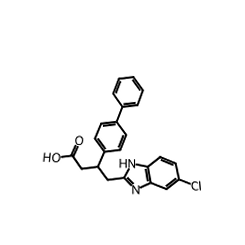 O=C(O)CC(Cc1nc2cc(Cl)ccc2[nH]1)c1ccc(-c2ccccc2)cc1